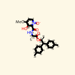 COc1cc[n+]([O-])c(C(=O)N[C@@H](C)C(=O)O[C@@H](C)C(c2ccc(C)cc2)c2ccc(C)cc2)c1O